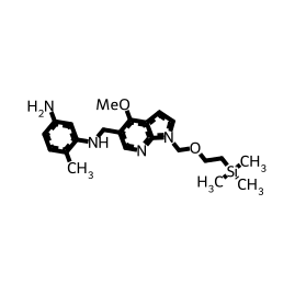 COc1c(CNc2cc(N)ccc2C)cnc2c1ccn2COCC[Si](C)(C)C